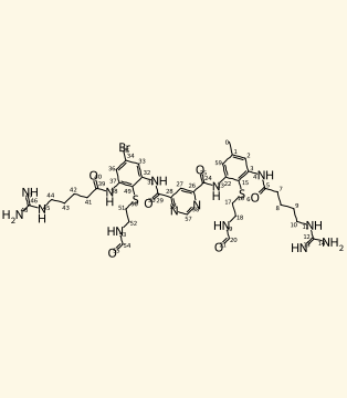 Cc1cc(NC(=O)CCCCNC(=N)N)c(SCCNC=O)c(NC(=O)c2cc(C(=O)Nc3cc(Br)cc(NC(=O)CCCCNC(=N)N)c3SCCNC=O)ncn2)c1